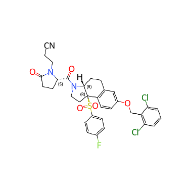 N#CCCN1C(=O)CC[C@H]1C(=O)N1CC[C@@]2(S(=O)(=O)c3ccc(F)cc3)c3ccc(OCc4c(Cl)cccc4Cl)cc3CC[C@@H]12